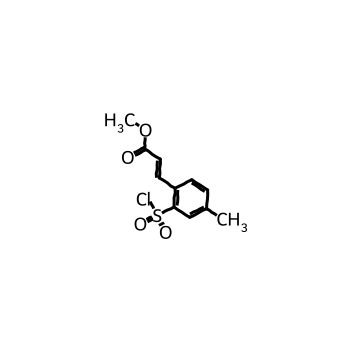 COC(=O)C=Cc1ccc(C)cc1S(=O)(=O)Cl